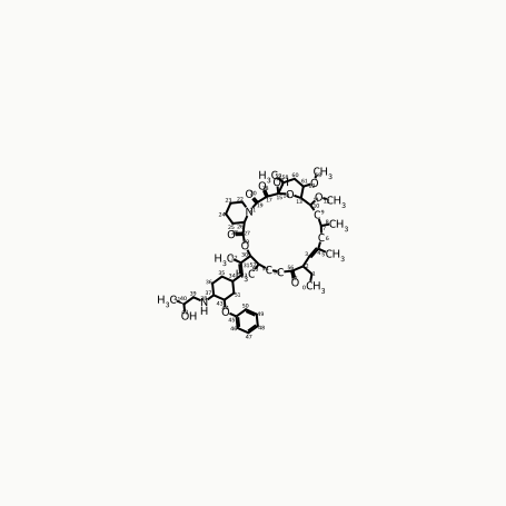 CCC1/C=C(\C)CC(C)CC(OC)C2OC(O)(C(=O)C(=O)N3CCCCC3C(=O)OC(C(C)=CC3CCC(NC[C@H](C)O)C(Oc4ccccc4)C3)C(C)CCC1=O)C(C)CC2OC